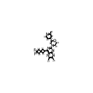 Cc1cc([C@@H]2CN(c3nc(C4CC5(C4)CC(F)(F)C5)c4nc(C)c(C)nc4n3)CCO2)ccn1